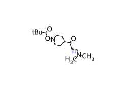 CN(C)/C=C/C(=O)C1CCN(OC(=O)C(C)(C)C)CC1